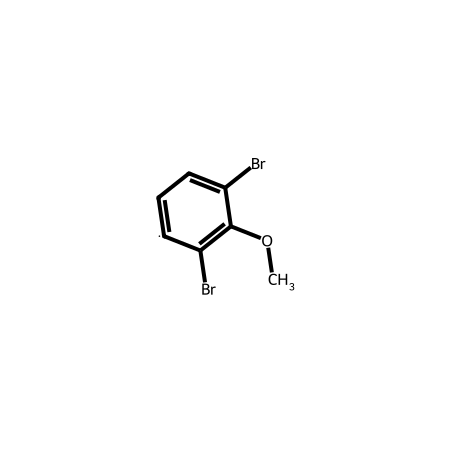 COc1c(Br)[c]ccc1Br